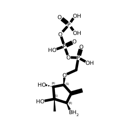 B[C@@H]1C(=C)[C@H](OCP(=O)(O)OP(=O)(O)OP(=O)(O)O)[C@@H](O)[C@@]1(C)O